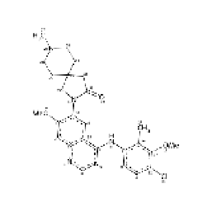 COc1cc2ncnc(Nc3ccc(Cl)c(OC)c3C)c2cc1N1CC2(CCN(C)CC2)CC1=O